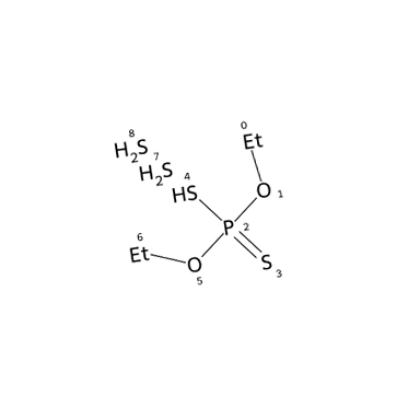 CCOP(=S)(S)OCC.S.S